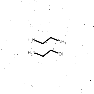 NCCN.NCCO